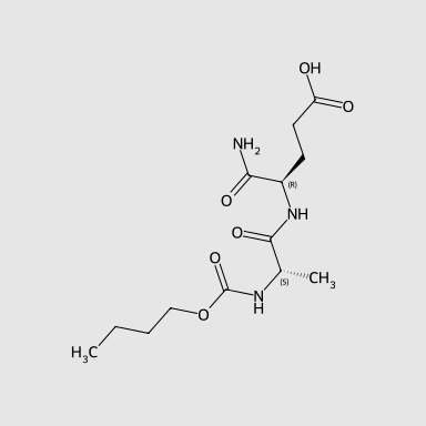 CCCCOC(=O)N[C@@H](C)C(=O)N[C@H](CCC(=O)O)C(N)=O